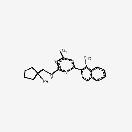 NC1(CNc2nc(-c3ccc4ccccc4c3C=O)nc(C(Cl)(Cl)Cl)n2)CCCC1